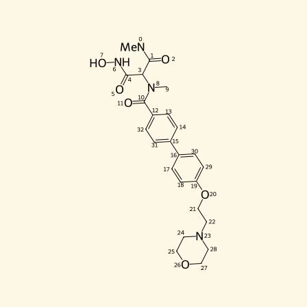 CNC(=O)C(C(=O)NO)N(C)C(=O)c1ccc(-c2ccc(OCCN3CCOCC3)cc2)cc1